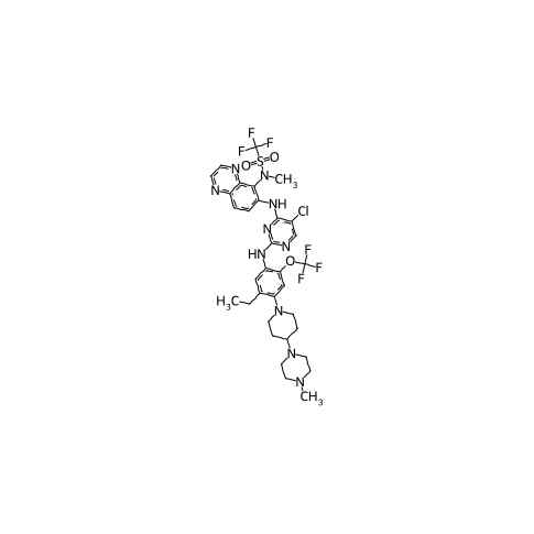 CCc1cc(Nc2ncc(Cl)c(Nc3ccc4nccnc4c3N(C)S(=O)(=O)C(F)(F)F)n2)c(OC(F)(F)F)cc1N1CCC(N2CCN(C)CC2)CC1